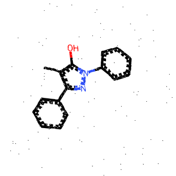 Cc1c(-c2ccccc2)nn(-c2ccccc2)c1O